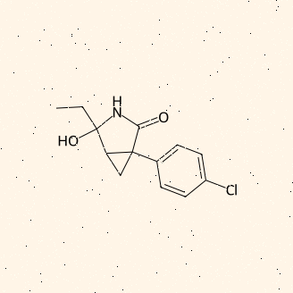 CCC1(O)NC(=O)C2(c3ccc(Cl)cc3)CC12